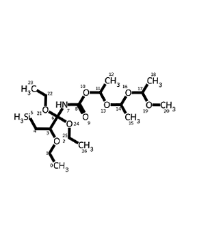 CCOC(C[SiH3])C(NC(=O)OC(C)OC(C)OC(C)OC)(OCC)OCC